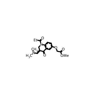 CCC(=O)N1CC(=CN(C)C)C(=O)c2cc(OCC(=O)OC)ccc21